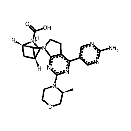 C[C@H]1COCCN1c1nc(-c2cnc(N)nc2)c2c(n1)N([C@H]1[C@H]3C[C@@H]1N(C(=O)O)C3)CC2